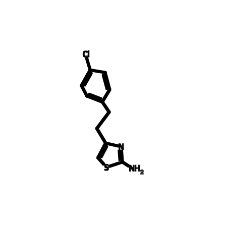 Nc1nc(CCc2ccc(Cl)cc2)cs1